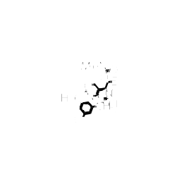 CCC(OC(=O)NC)c1nc(C)nc2c1COCN2c1c(C)cc(Cl)cc1C